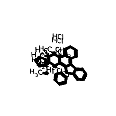 C[CH]=[Hf]([C]1=CC=CC1)([c]1ccccc1)[C]1(C)C2=C3Cc4ccccc4C3=C3C=CCCC3C2(C)C(C)(C)C(C)(C)C1(C)C.Cl.Cl